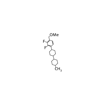 COCc1ccc(C2CCC(C3CCC(C)CC3)CC2)c(F)c1F